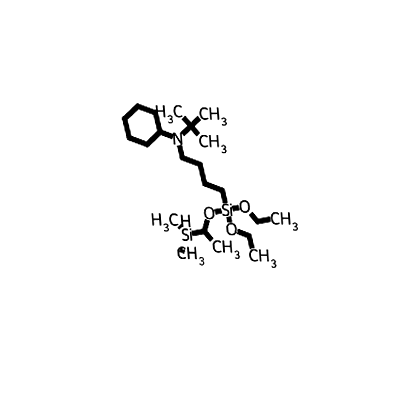 CCO[Si](CCCCN(C1CCCCC1)C(C)(C)C)(OCC)OC(C)[SiH](C)C